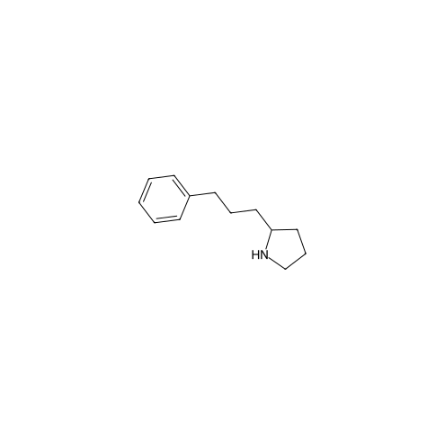 c1ccc(CCCC2CCCN2)cc1